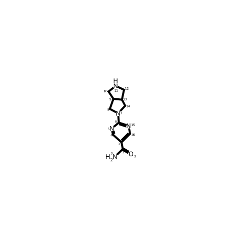 NC(=O)c1cnc(N2CC3CNCC3C2)nc1